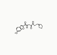 COc1ccc2cc(C(=O)NCC(=O)NCCN3CCCC3)oc2c1